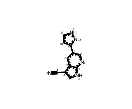 N#Cc1c[nH]c2ncc(-c3cc[nH]n3)cc12